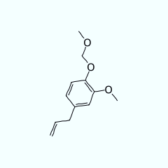 C=CCc1ccc(OCOC)c(OC)c1